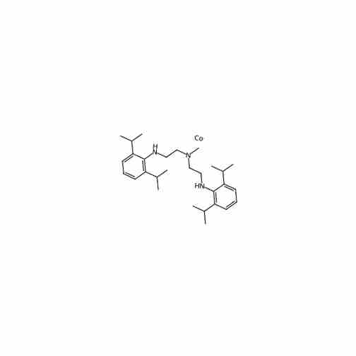 CC(C)c1cccc(C(C)C)c1NCCN(C)CCNc1c(C(C)C)cccc1C(C)C.[Co]